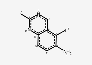 Cc1ncc2c(I)c(N)ccc2n1